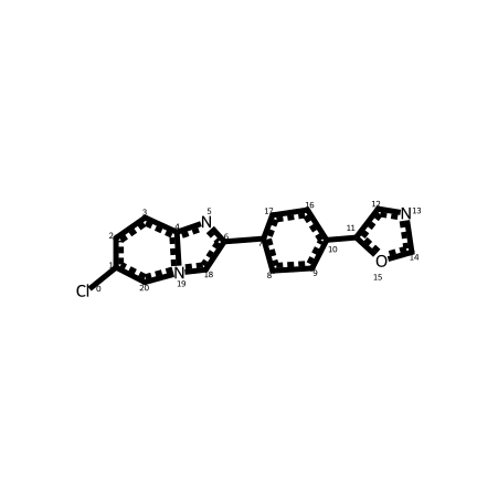 Clc1ccc2nc(-c3ccc(-c4cnco4)cc3)cn2c1